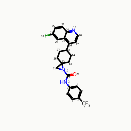 O=C(Nc1ccc(C(F)(F)F)cc1)N1CC12CCC(c1ccnc3ccc(F)cc13)CC2